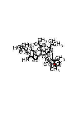 COC(=O)[C@H](C)N[P@](=O)(OC[C@@]1(C#N)O[C@@H](c2ccc3c(=N)n(COP(C)(=O)O)cnn23)[C@H](OC(=O)C(C)C)[C@@H]1OC(=O)C(C)C)Oc1ccccc1